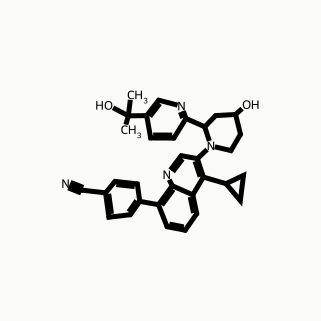 CC(C)(O)c1ccc(C2CC(O)CCN2c2cnc3c(-c4ccc(C#N)cc4)cccc3c2C2CC2)nc1